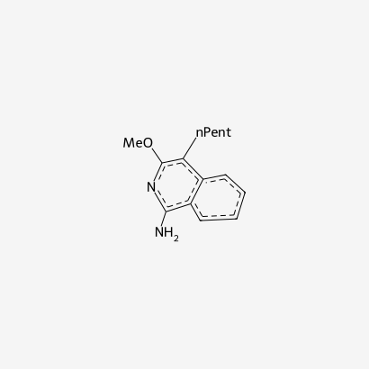 CCCCCc1c(OC)nc(N)c2ccccc12